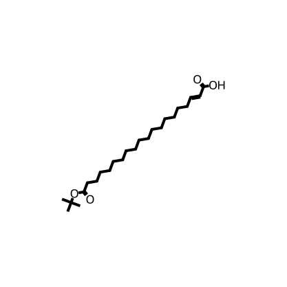 CC(C)(C)OC(=O)CCCCCCCCCCCCCCCCC=CC(=O)O